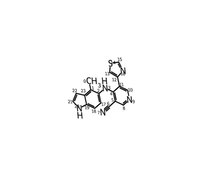 Cc1c(Nc2c(C#N)cncc2-c2cscn2)ccc2[nH]ccc12